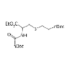 CCCCCCCCCCCCSCC(NC(=O)CCCCCCCCCC)C(=O)OCC